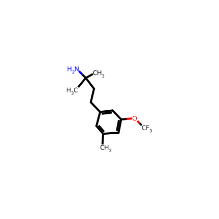 Cc1cc(CCC(C)(C)N)cc(OC(F)(F)F)c1